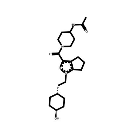 CC(=O)NC1CCN(C(=O)c2nn(CC[C@H]3CC[C@H](O)CC3)c3c2CCC3)CC1